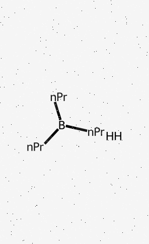 CCCB(CCC)CCC.[HH]